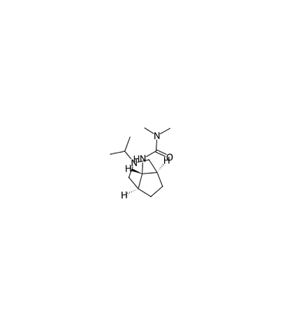 CC(C)N1C[C@H]2CC[C@@H](C1)[C@@H]2NC(=O)N(C)C